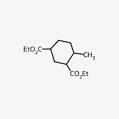 CCOC(=O)C1CCC(C)C(C(=O)OCC)C1